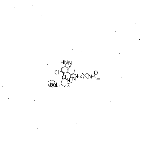 C=CC(=O)N1CC2(CC(n3nc(N4CC[C@@H](CN5CC6CC(C5)N6C(C)=O)CC4(C)C)c(-c4c(Cl)c(Cl)cc5[nH]ncc45)c3C)C2)C1